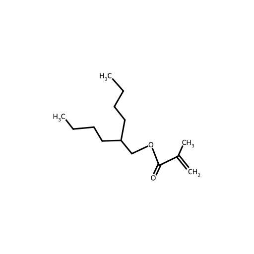 C=C(C)C(=O)OCC(CCCC)CCCC